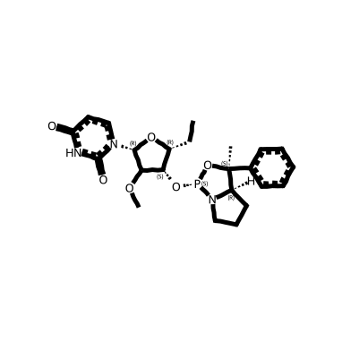 CC[C@H]1O[C@@H](n2ccc(=O)[nH]c2=O)C(OC)[C@H]1O[P@]1O[C@@](C)(c2ccccc2)[C@H]2CCCN21